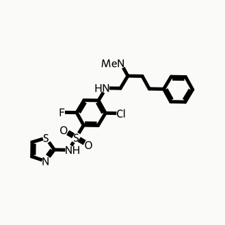 CNC(CCc1ccccc1)CNc1cc(F)c(S(=O)(=O)Nc2nccs2)cc1Cl